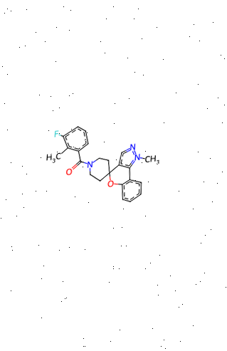 Cc1c(F)cccc1C(=O)N1CCC2(CC1)Oc1ccccc1-c1c2cnn1C